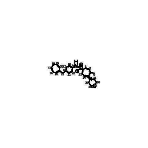 CC1C=CC(S(=O)(=O)Nc2ccc(CC3=CC=CCC=C3)cc2)=CC=C1N1CCOCC1